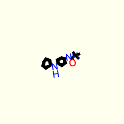 CC(C)(C)C(=O)Nc1ccc(Nc2ccccc2)cc1